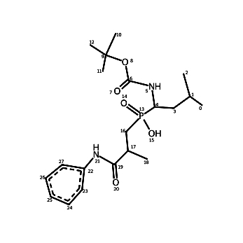 CC(C)CC(NC(=O)OC(C)(C)C)P(=O)(O)CC(C)C(=O)Nc1ccccc1